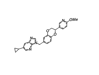 COc1ccc(C2COc3cc(Cn4cnc5cc(C6CC6)cnc54)ccc3O2)cn1